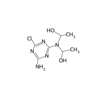 CC(O)N(c1nc(N)nc(Cl)n1)C(C)O